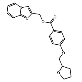 O=C(OCc1cn2ccccc2n1)c1ccc(OCC2CCCO2)cc1